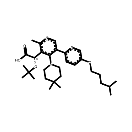 Cc1ncc(-c2ccc(OCCCC(C)C)cn2)c(N2CCC(C)(C)CC2)c1[C@H](OC(C)(C)C)C(=O)O